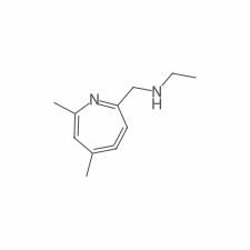 CCNCC1=NC(C)=CC(C)=C=C1